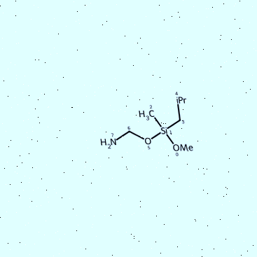 CO[Si](C)(CC(C)C)OCN